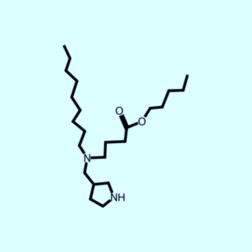 CCCCCCCCCN(CCCC(=O)OCCCCC)CC1CCNC1